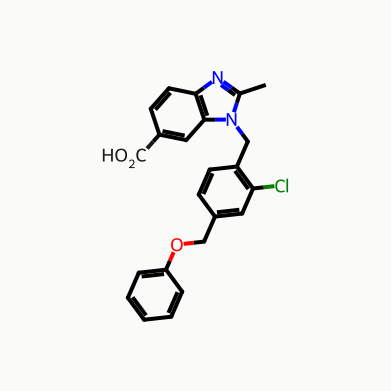 Cc1nc2ccc(C(=O)O)cc2n1Cc1ccc(COc2ccccc2)cc1Cl